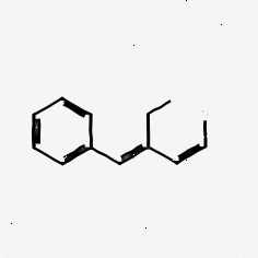 N/C=C\C(=C\c1ccccc1)CCl